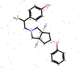 CC(CN1C[C@H]2C[C@H](Oc3ccccc3)C[C@H]2C1)c1ccc(O)cc1